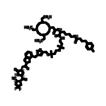 Cc1ccc(CCCC(=O)NCCCCC(NC(=O)CN2CCN(CC(=O)O)CCN(CC(=O)O)CCN(CC(=O)O)CC2)C(=O)NCCC(C)(C)OCCC(C)(C)OCc2cn(Cc3cccc4c3CN(C(=O)C[C@@H]3C[C@@H](C(=O)N5CC(F)(F)C[C@H]5C#N)NC3=O)C4)nn2)cc1